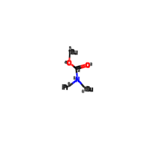 CC(C)N(C(=O)OC(C)(C)C)C(C)(C)C